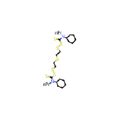 CCCN(C(=S)SSCCSCCSSC(=S)N(CCC)C1CCCCC1)C1CCCCC1